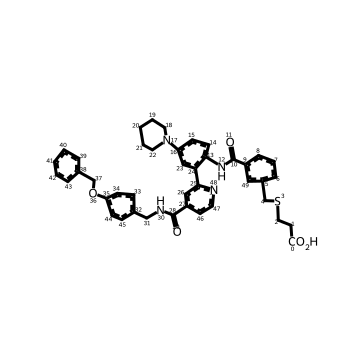 O=C(O)CCSCc1cccc(C(=O)Nc2ccc(N3CCCCC3)cc2-c2cc(C(=O)NCc3ccc(OCc4ccccc4)cc3)ccn2)c1